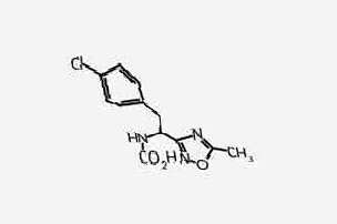 Cc1nc(C(Cc2ccc(Cl)cc2)NC(=O)O)no1